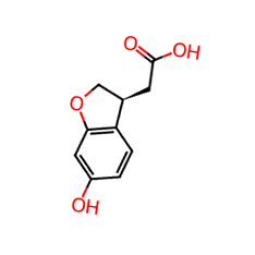 O=C(O)C[C@@H]1COc2cc(O)ccc21